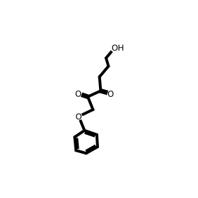 O=C(CCCO)C(=O)COc1ccccc1